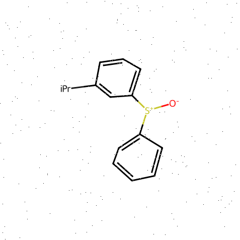 CC(C)c1cccc([S+]([O-])c2ccccc2)c1